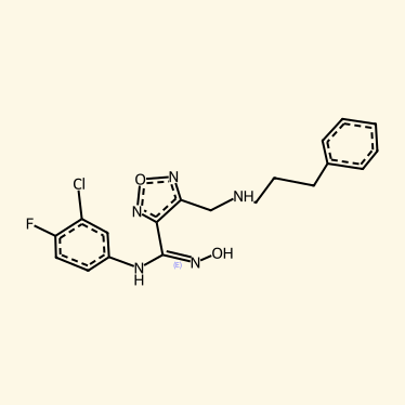 O/N=C(/Nc1ccc(F)c(Cl)c1)c1nonc1CNCCCc1ccccc1